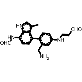 Cc1c[nH]c2c(NC=O)ccc(-c3ccc(NC=CC=O)cc3CN)c12